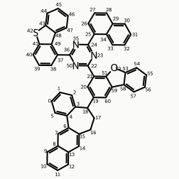 c1ccc2c(c1)-c1cc3ccccc3cc1CCC2c1cc(-c2nc(-c3cccc4ccccc34)nc(-c3cccc4sc5ccccc5c34)n2)c2oc3ccccc3c2c1